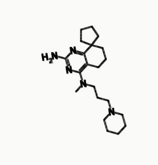 CN(CCCN1CCCCC1)c1nc(N)nc2c1CCCC21CCCC1